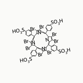 O=S(=O)(O)c1ccc(C2=C3N=C(C(Br)=C3Br)C(c3ccc(S(=O)(=O)O)cc3)=C3N=C(C(Br)=C3Br)C(c3ccc(S(=O)(=O)O)cc3)=C3N=C(C(Br)=C3Br)C(c3ccc(S(=O)(=O)O)cc3)=C3N=C2C(Br)=C3Br)cc1